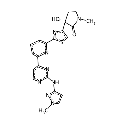 CN1CC[C@](O)(c2csc(-c3cccc(-c4ccnc(Nc5ccn(C)n5)n4)n3)n2)C1=O